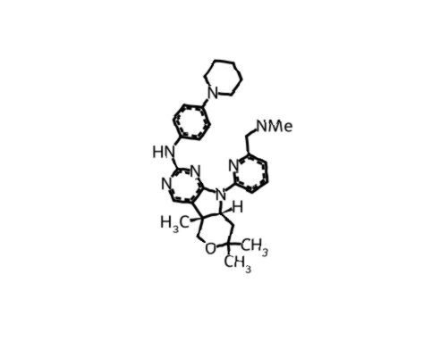 CNCc1cccc(N2c3nc(Nc4ccc(N5CCCCC5)cc4)ncc3[C@@]3(C)COC(C)(C)C[C@@H]23)n1